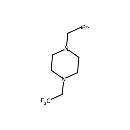 C[C](C)CN1CCN(CC(F)(F)F)CC1